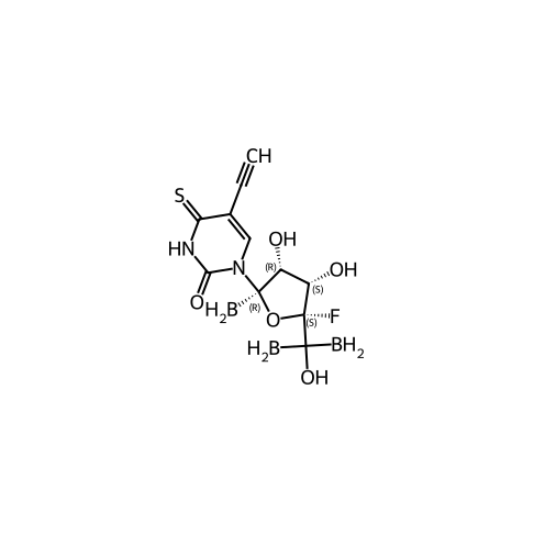 BC(B)(O)[C@@]1(F)O[C@@](B)(n2cc(C#C)c(=S)[nH]c2=O)[C@H](O)[C@@H]1O